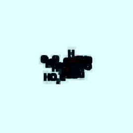 CCCCOC(=O)C(C1C(=O)NC(=O)C1CC1C(=O)N(C2CCCCC2)C(=O)C1C)C(C)(C(=O)OCCCC)C1C2CC(CC2CCCCCCC2CO2)C1C1C2CC(CC2C(=O)OCC2(CC)COC2)C1C1C(C)C2CC(C(=O)O)C1C2